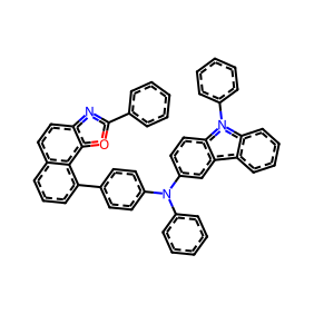 c1ccc(-c2nc3ccc4cccc(-c5ccc(N(c6ccccc6)c6ccc7c(c6)c6ccccc6n7-c6ccccc6)cc5)c4c3o2)cc1